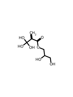 C=C(C(=O)OCC(O)CO)C(O)(O)O